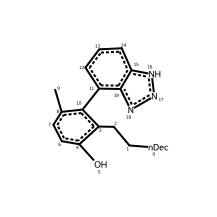 CCCCCCCCCCCCc1c(O)ccc(C)c1-c1cccc2[nH]nnc12